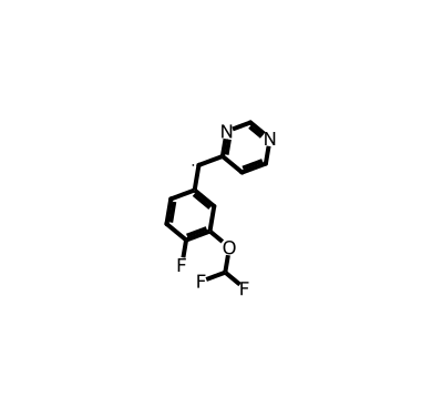 Fc1ccc([CH]c2ccncn2)cc1OC(F)F